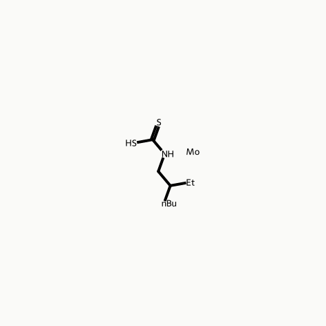 CCCCC(CC)CNC(=S)S.[Mo]